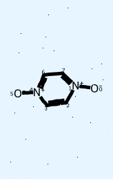 [O-][n+]1cc[n+]([O-])cc1